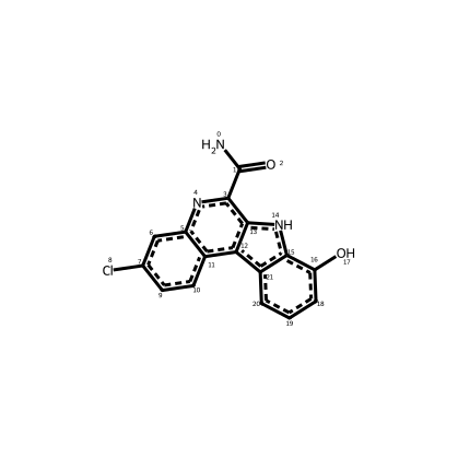 NC(=O)c1nc2cc(Cl)ccc2c2c1[nH]c1c(O)cccc12